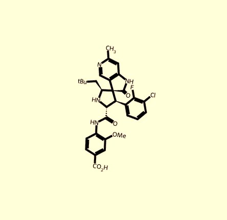 COc1cc(C(=O)O)ccc1NC(=O)[C@@H]1N[C@@H](CC(C)(C)C)[C@@]2(C(=O)Nc3cc(C)ncc32)[C@H]1c1cccc(Cl)c1F